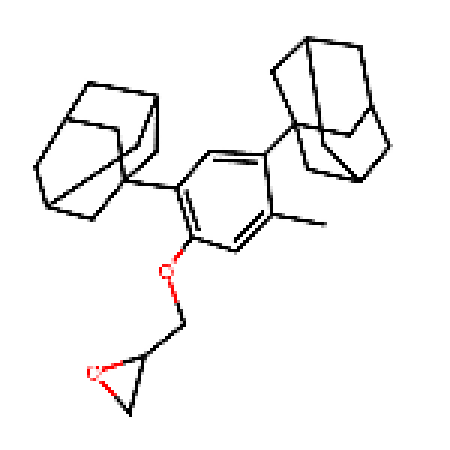 Cc1cc(OCC2CO2)c(C23CC4CC(CC(C4)C2)C3)cc1C12CC3CC(CC(C3)C1)C2